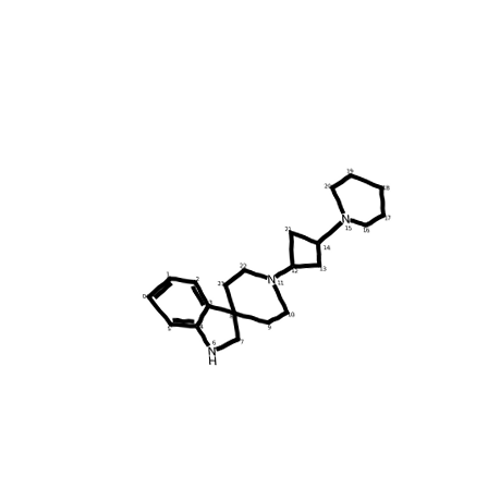 c1ccc2c(c1)NCC21CCN(C2CC(N3CCCCC3)C2)CC1